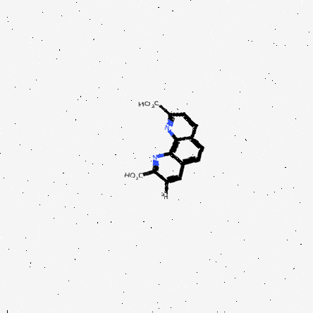 [2H]c1cc2ccc3ccc(C(=O)O)nc3c2nc1C(=O)O